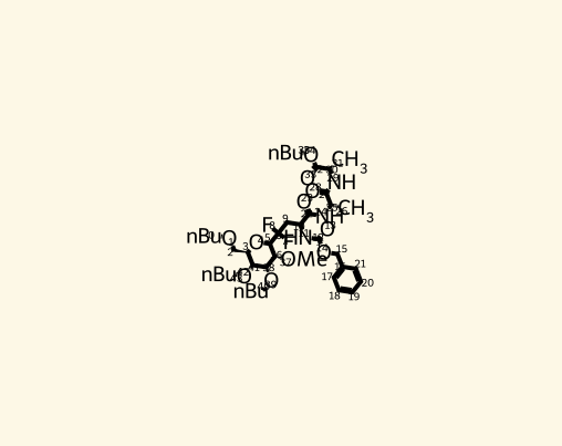 CCCCOC[C@H]1OC(C(F)(F)CC(NC(=O)OCc2ccccc2)C(=O)N[C@@H](C)C(=O)N[C@@H](C)C(=O)OCCCC)[C@H](OC)[C@@H](OCCCC)[C@H]1OCCCC